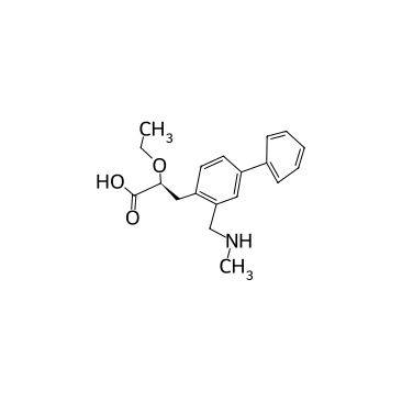 CCO[C@@H](Cc1ccc(-c2ccccc2)cc1CNC)C(=O)O